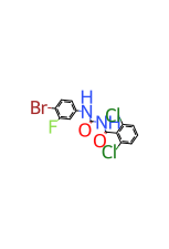 O=C(NC(=O)c1c(Cl)cccc1Cl)Nc1ccc(Br)c(F)c1